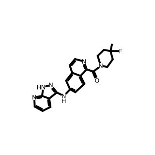 CC1(F)CCN(C(=O)c2nccc3cc(Nc4n[nH]c5ncccc45)ccc23)CC1